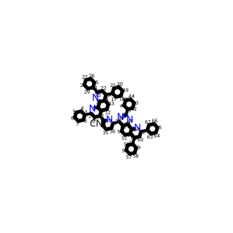 N#Cc1c(-c2ccccc2)nc2c(ccc3c(-c4ccccc4)cc(-c4ccccc4)nc32)c1-c1cccc(-c2nc(-c3ccccc3)nc3c2ccc2c(-c4ccccc4)cc(-c4ccccc4)nc23)n1